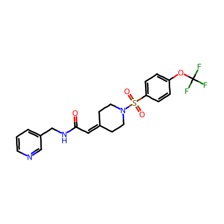 O=C(C=C1CCN(S(=O)(=O)c2ccc(OC(F)(F)F)cc2)CC1)NCc1cccnc1